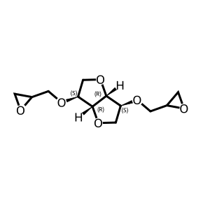 C1OC1CO[C@H]1CO[C@H]2[C@@H]1OC[C@@H]2OCC1CO1